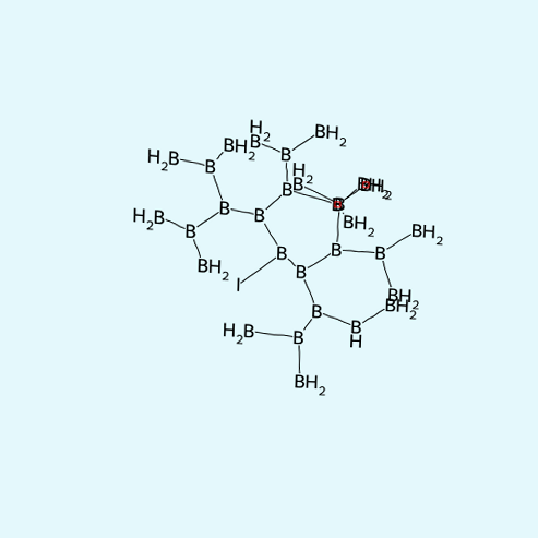 BBB(B(B)B)B(B(I)B(B(B(B)B)B(B)B)B(B(B)B)B(B)B)B(B(B)B)B(B)B